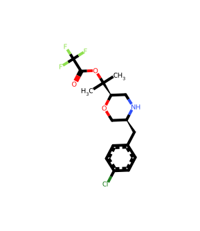 CC(C)(OC(=O)C(F)(F)F)[C@H]1CN[C@@H](Cc2ccc(Cl)cc2)CO1